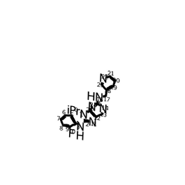 CC(C)n1c(Nc2ccccc2F)nc2cnc(NCc3cccnc3)nc21